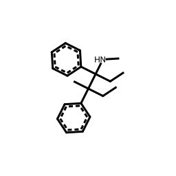 CCC(C)(c1ccccc1)C(CC)(NC)c1ccccc1